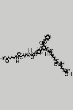 O=C(O)CCCCCNC(=O)CCCCCNC(=O)COc1ccc(-c2cc(OCC(=O)NCCCCCC(=O)NCCCCCC(=O)O)cc(C(=O)OCc3ccccc3)c2)cc1